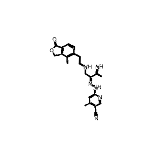 CC(=N)/C(CNCCc1ccc2c(c1C)COC2=O)=N\Nc1cc(C)c(C#N)cn1